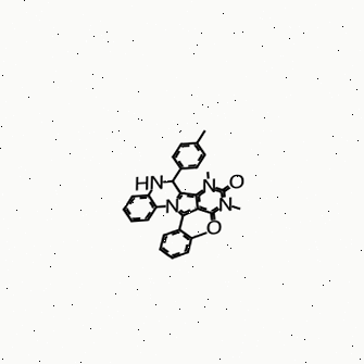 Cc1ccc(C2Nc3ccccc3-n3c(-c4ccccc4C)c4c(=O)n(C)c(=O)n(C)c4c32)cc1